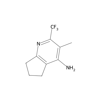 Cc1c(C(F)(F)F)nc2c(c1N)CCC2